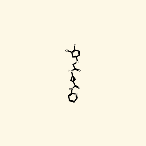 O=C(COc1ccc(Cl)c(Cl)c1)NC12CC(C(=O)Nc3ccccn3)(C1)C2